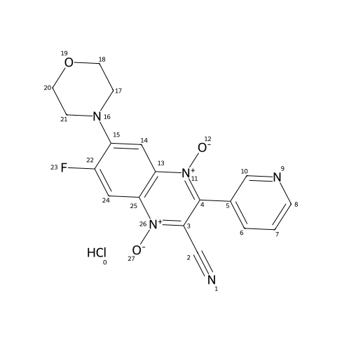 Cl.N#Cc1c(-c2cccnc2)[n+]([O-])c2cc(N3CCOCC3)c(F)cc2[n+]1[O-]